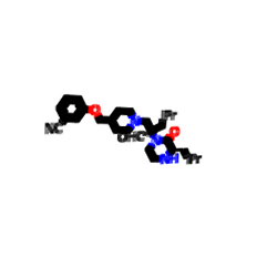 CC(C)C[C@@H]1NCCN([C@](C=O)(CC(C)C)CN2CCC(COc3cccc(C#N)c3)CC2)C1=O